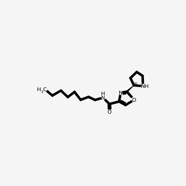 CCCCCCCCNC(=O)c1coc([C@H]2CCCN2)n1